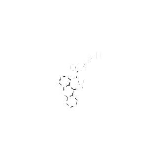 O=C(OCCO)C(=O)c1cccc2sc3ccccc3c(=O)c12